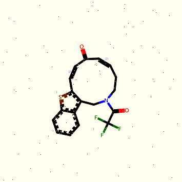 O=C1/C=C\CCN(C(=O)C(F)(F)F)Cc2c(sc3ccccc23)/C=C\1